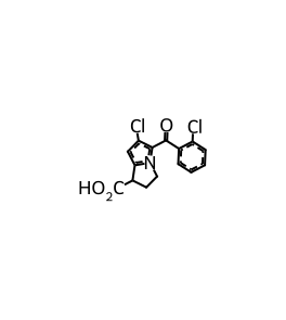 O=C(c1ccccc1Cl)c1c(Cl)cc2n1CCC2C(=O)O